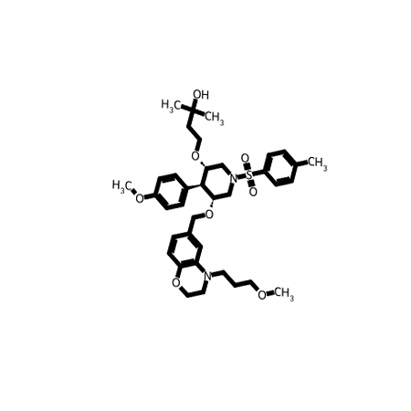 COCCCN1CCOc2ccc(CO[C@H]3CN(S(=O)(=O)c4ccc(C)cc4)C[C@@H](OCCC(C)(C)O)[C@@H]3c3ccc(OC)cc3)cc21